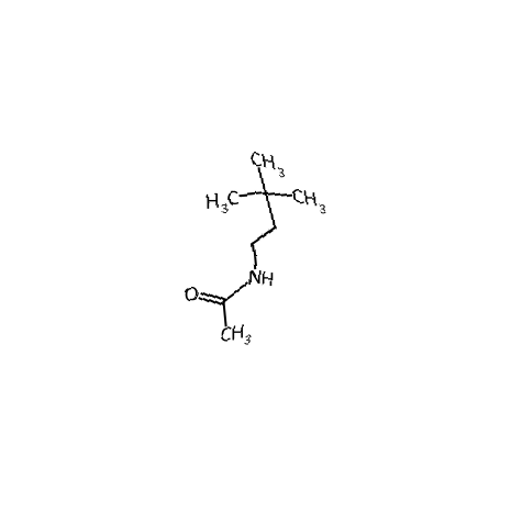 CC(=O)NCCC(C)(C)C